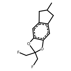 CC1Cc2cc3c(cc2C1)OC(CF)(CF)O3